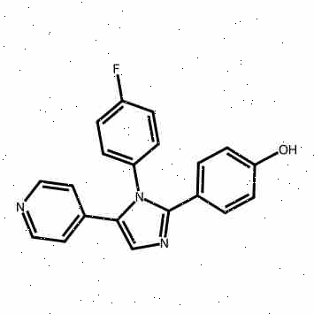 Oc1ccc(-c2ncc(-c3ccncc3)n2-c2ccc(F)cc2)cc1